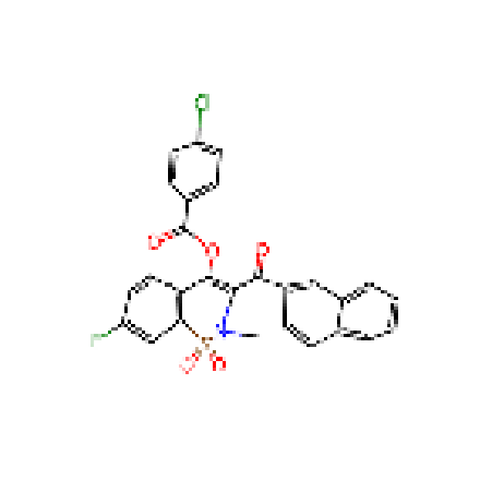 CN1C(C(=O)c2ccc3ccccc3c2)=C(OC(=O)c2ccc(Cl)cc2)c2ccc(F)cc2S1(=O)=O